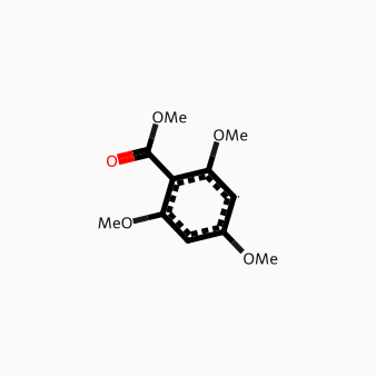 COC(=O)c1c(OC)[c]c(OC)cc1OC